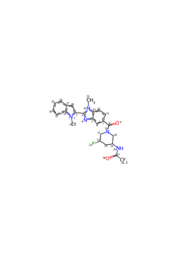 CCn1c(-c2nc3cc(C(=O)N4CC(F)CC(NC(=O)C(F)(F)F)C4)ccc3n2C)cc2ccccc21